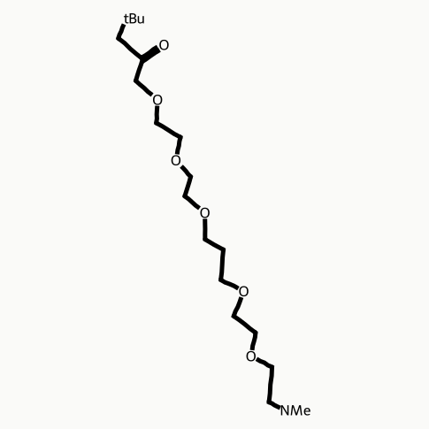 CNCCOCCOCCCOCCOCCOCC(=O)CC(C)(C)C